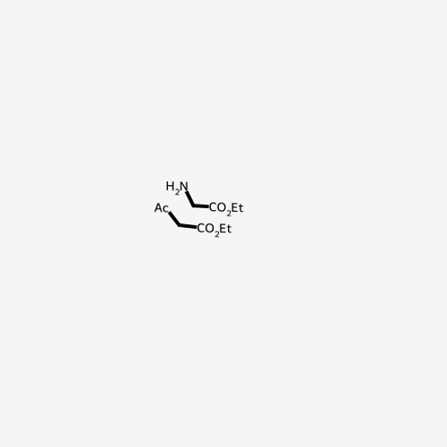 CCOC(=O)CC(C)=O.CCOC(=O)CN